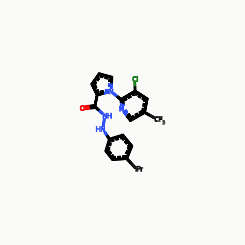 CC(C)c1ccc(NNC(=O)c2cccn2-c2ncc(C(F)(F)F)cc2Cl)cc1